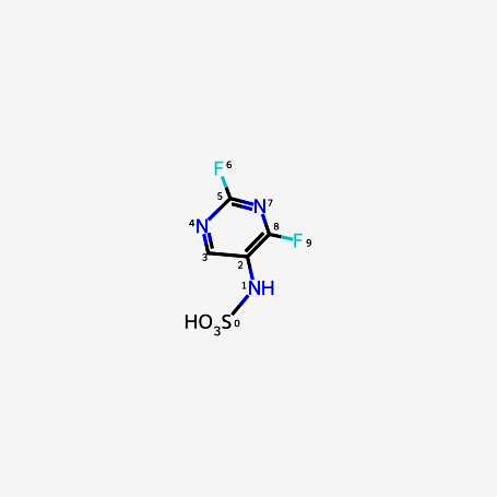 O=S(=O)(O)Nc1cnc(F)nc1F